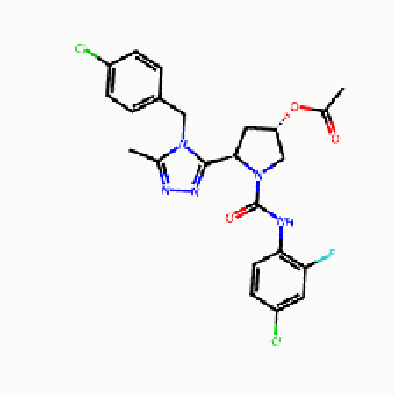 CC(=O)O[C@H]1C[C@H](c2nnc(C)n2Cc2ccc(Cl)cc2)N(C(=O)Nc2ccc(Cl)cc2F)C1